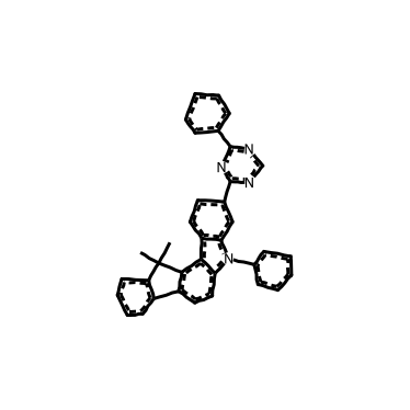 CC1(C)c2ccccc2-c2ccc3c(c21)c1ccc(-c2ncnc(-c4ccccc4)n2)cc1n3-c1ccccc1